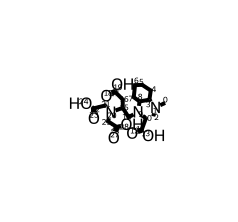 CN(C)C1CCCCC1N(CC(=O)O)CC(CC(=O)O)N(CC(=O)O)CC(=O)O